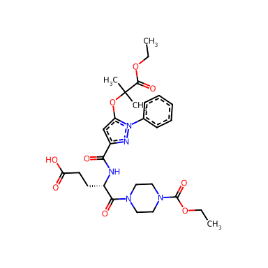 CCOC(=O)N1CCN(C(=O)[C@H](CCC(=O)O)NC(=O)c2cc(OC(C)(C)C(=O)OCC)n(-c3ccccc3)n2)CC1